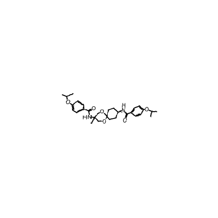 CC(C)Oc1ccc(C(=O)NC2CCC3(CC2)OCC(C)(NC(=O)c2ccc(OC(C)C)cc2)CO3)cc1